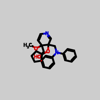 COC1(CO)C=CN=CC1(CN(c1ccccc1)c1ccccc1)OC1CCCC1